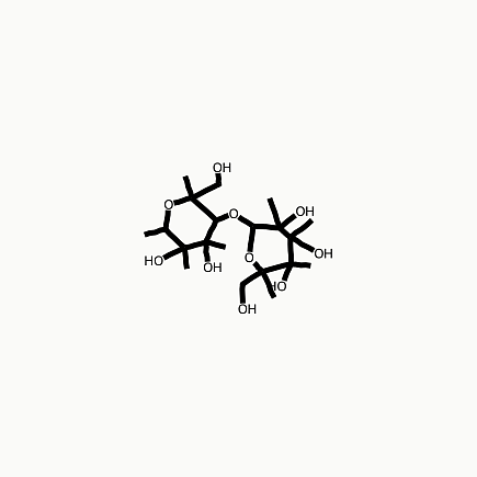 CC1OC(C)(CO)C(OC2OC(C)(CO)C(C)(O)C(C)(O)C2(C)O)C(C)(O)C1(C)O